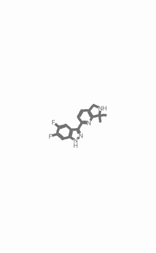 CC1(C)NCc2ccc(-c3n[nH]c4cc(F)c(F)cc34)nc21